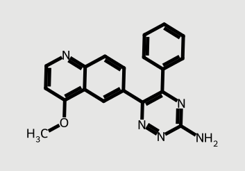 COc1ccnc2ccc(-c3nnc(N)nc3-c3ccccc3)cc12